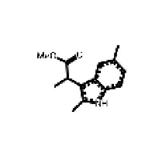 COC(=O)C(C)c1c(C)[nH]c2ccc(C)cc12